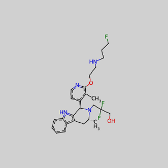 Cc1c([C@@H]2c3[nH]c4ccccc4c3C[C@@H](C)N2CC(F)(F)CO)ccnc1OCCNCCCF